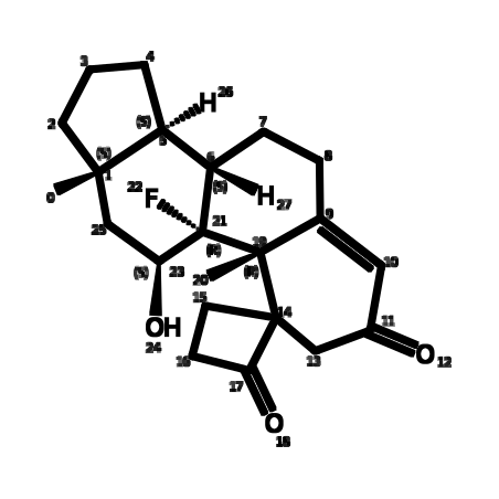 C[C@@]12CCC[C@H]1[C@@H]1CCC3=CC(=O)CC4(CCC4=O)[C@]3(C)[C@@]1(F)[C@@H](O)C2